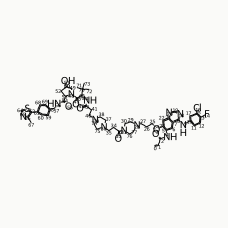 C=CC(=O)Nc1cc2c(Nc3ccc(F)c(Cl)c3)ncnc2cc1OCCCN1CCN(C(=O)CCN2CCN(CCC(=O)N[C@H](C(=O)N3C[C@H](O)CC3C(=O)NCc3ccc(-c4scnc4C)cc3)C(C)(C)C)CC2)CC1